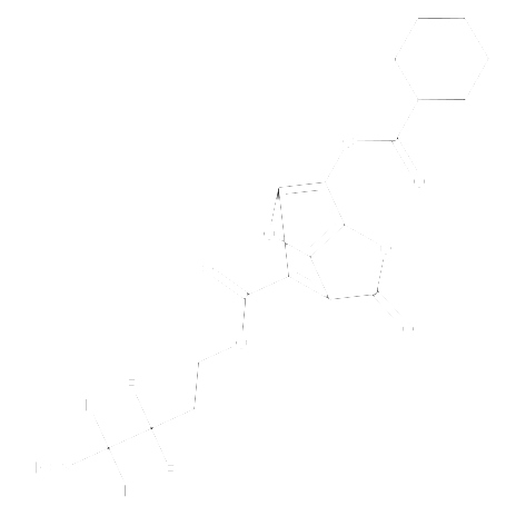 O=C1Oc2c(OC(=O)C3CCCCC3)c3oc2c1c3C(=O)OCCC(F)(F)C(F)(F)S(=O)(=O)O